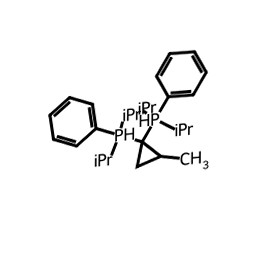 CC1CC1([PH](c1ccccc1)(C(C)C)C(C)C)[PH](c1ccccc1)(C(C)C)C(C)C